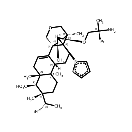 CC(C)[C@@H](C)[C@@]1(C)CC[C@]2(C)[C@H]3CC[C@H]4[C@]5(C)COC[C@]4(C3=CC[C@@]2(C)[C@@H]1C(=O)O)[C@H](C)[C@@H](n1cccn1)[C@@H]5OC[C@](C)(N)C(C)C